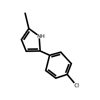 Cc1ccc(-c2ccc(Cl)cc2)[nH]1